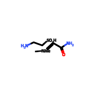 C=CC(N)=O.CNC.NCCS(=O)(=O)O